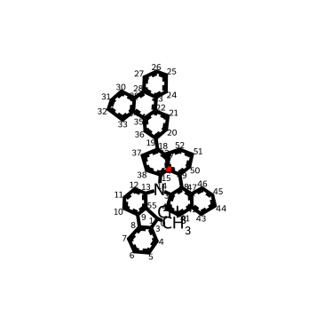 CC1(C)c2ccccc2-c2cccc(N(c3ccc(-c4ccc5c6ccccc6c6ccccc6c5c4)cc3)c3ccc4ccccc4c3-c3ccccc3)c21